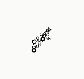 CC(C)n1c(=O)n(CC2CC(F)(F)C2)c(=O)c2cc(NC(=O)N3CCC[C@@H](N4Cc5ccccc5C4=O)C3)c(F)cc21